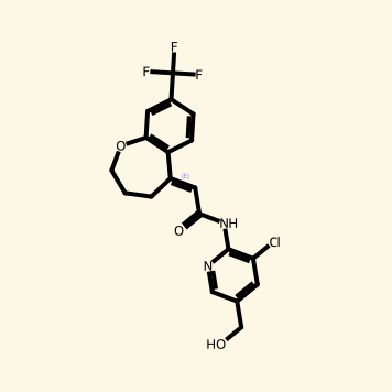 O=C(/C=C1\CCCOc2cc(C(F)(F)F)ccc21)Nc1ncc(CO)cc1Cl